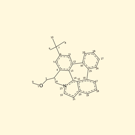 COCCc1cc(C(C)(C)C)cc2c1-c1c3c(cccc3cc[n+]1C)-c1ccccc1-2